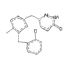 Cc1ccc(Cc2ccc(=O)[nH]n2)cc1Cc1ccccc1Cl